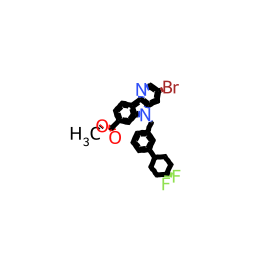 COC(=O)c1ccc2c3ncc(Br)cc3n(Cc3cccc(C4CCC(F)(F)CC4)c3)c2c1